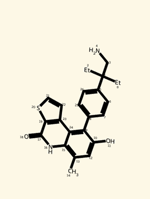 CCC(CC)(CN)c1ccc(-c2c(O)cc(C)c3[nH]c(=O)c4sccc4c23)cc1